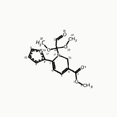 COC(=O)C1=CC=C(c2cccs2)N(C(C=O)(OC)OC)C1